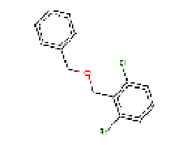 Clc1c[c]cc(Br)c1COCc1ccccc1